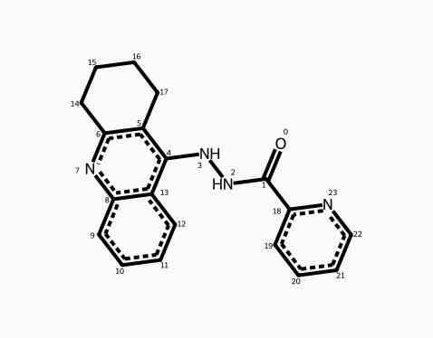 O=C(NNc1c2c(nc3ccccc13)CCCC2)c1ccccn1